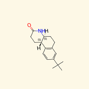 CC(C)(C)c1ccc2c(c1)CC[C@@H]1NC(=O)CC[C@@H]21